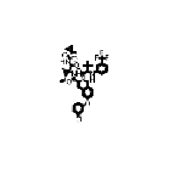 C=C[C@@H]1C[C@]1(NC(=O)C1Cc2cc(Oc3cccc(Cl)c3)ccc2CN1C(=O)[C@@H](Nc1cccc(C(F)(F)F)c1)C(C)(C)C)C(=O)NS(=O)(=O)C1(C)CC1